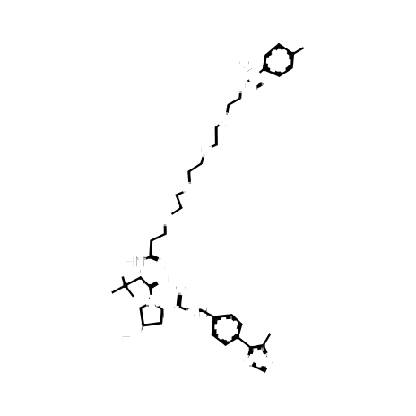 Cc1ccc(S(=O)(=O)OCCOCCOCCOCCOCCC(=O)N[C@H](C(=O)N2C[C@H](O)C[C@H]2C(=O)NCc2ccc(-c3scnc3C)cc2)C(C)(C)C)cc1